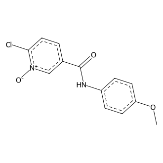 COc1ccc(NC(=O)c2ccc(Cl)[n+]([O-])c2)cc1